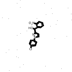 O=[N+]([O-])c1ccccc1C(O)c1ccn(-c2ccc(Cl)cc2)n1